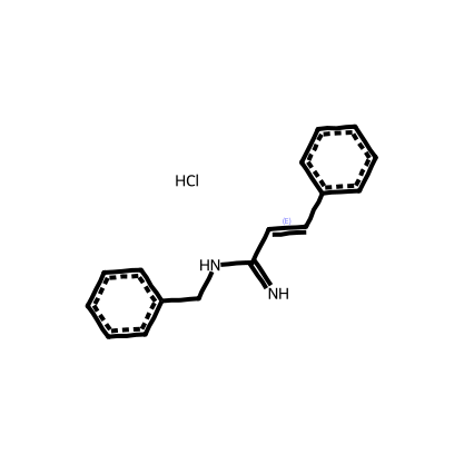 Cl.N=C(/C=C/c1ccccc1)NCc1ccccc1